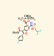 CNC(=O)c1c(-c2ccc(F)cc2)oc2cc(NS(=O)(=O)CCC(F)F)c(B3OC(C)(C)C(C)(C)O3)cc12